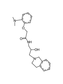 CN(C)c1ccccc1OCC(=O)NCC(O)CN1CCc2ccccc2C1